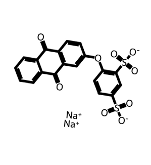 O=C1c2ccccc2C(=O)c2cc(Oc3ccc(S(=O)(=O)[O-])cc3S(=O)(=O)[O-])ccc21.[Na+].[Na+]